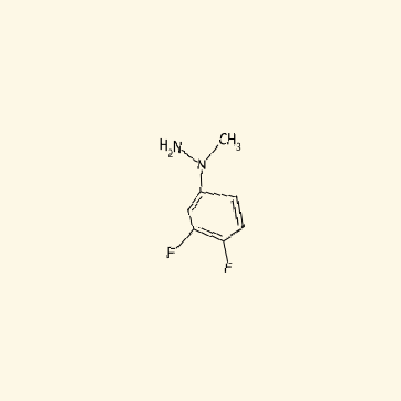 CN(N)c1ccc(F)c(F)c1